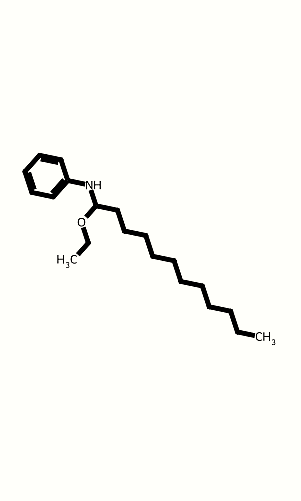 CCCCCCCCCCCC(Nc1ccccc1)OCC